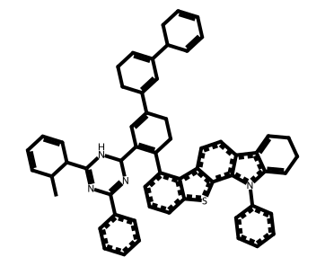 CC1C=CC=CC1C1=NC(c2ccccc2)=NC(C2=C(c3cccc4sc5c(ccc6c7c(n(-c8ccccc8)c65)=CCCC=7)c34)CCC(C3=CC(C4C=CC=CC4)=CCC3)=C2)N1